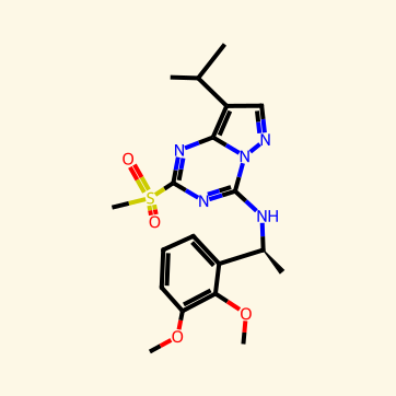 COc1cccc([C@H](C)Nc2nc(S(C)(=O)=O)nc3c(C(C)C)cnn23)c1OC